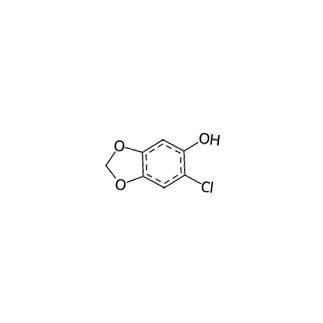 Oc1cc2c(cc1Cl)OCO2